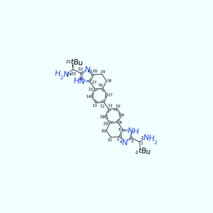 CC(C)(C)C(N)c1nc2c([nH]1)-c1ccc(-c3ccc4c(c3)CCc3nc([C@@H](N)C(C)(C)C)[nH]c3-4)cc1CC2